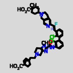 Cn1c(C(=O)Nc2cccc(-c3cccc(/C=C(\F)c4cc5c(cn4)CN(C4CCC(C)(C(=O)O)CC4)CC5)c3Cl)c2Cl)nc2c1CCN(CCC13CCC(C(=O)O)(CC1)C3)C2